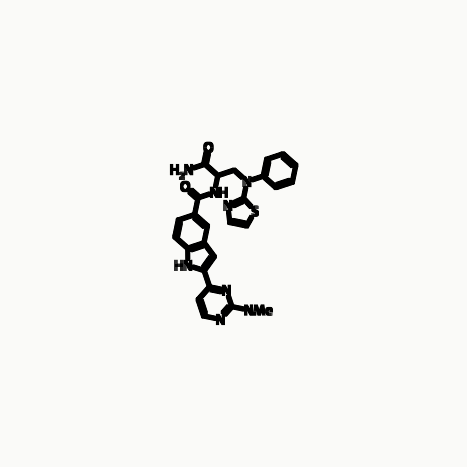 CNc1nccc(-c2cc3cc(C(=O)NC(CN(c4ccccc4)c4nccs4)C(N)=O)ccc3[nH]2)n1